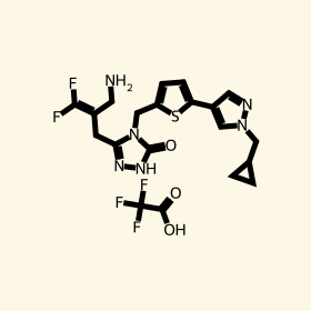 NCC(Cc1n[nH]c(=O)n1Cc1ccc(-c2cnn(CC3CC3)c2)s1)=C(F)F.O=C(O)C(F)(F)F